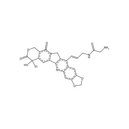 CCC1(O)C(=O)OCc2c1cc1n(c2=O)Cc2c-1nc1cc3c(cc1c2C=CCNC(=O)CN)OCO3